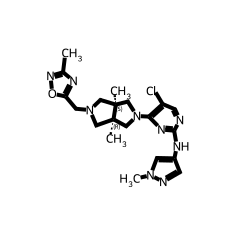 Cc1noc(CN2C[C@@]3(C)CN(c4nc(Nc5cnn(C)c5)ncc4Cl)C[C@@]3(C)C2)n1